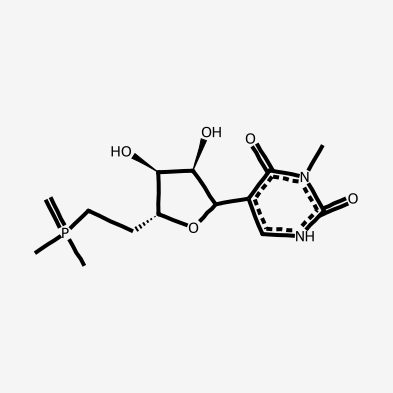 C=P(C)(C)CC[C@H]1OC(c2c[nH]c(=O)n(C)c2=O)[C@H](O)[C@@H]1O